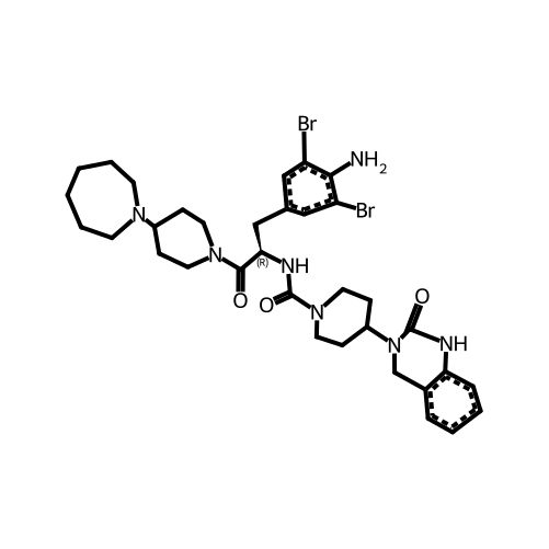 Nc1c(Br)cc(C[C@@H](NC(=O)N2CCC(N3Cc4ccccc4NC3=O)CC2)C(=O)N2CCC(N3CCCCCC3)CC2)cc1Br